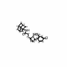 Nn1c(SCC(=O)NC23CC4CC5CC(C2)C53C4)nnc1-c1ccc(Cl)cc1Cl